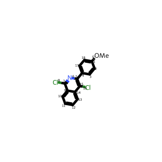 COc1ccc(-c2nc(Cl)c3ccccc3c2Cl)cc1